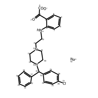 O=C([O-])C(=O)c1ccccc1NCCN1CCN(C(c2ccccc2)c2ccc(Cl)cc2)CC1.[Na+]